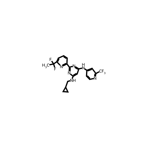 CC(F)(F)c1cccc(-c2nc(NCC3CC3)cc(Nc3ccnc(C(F)(F)F)c3)n2)n1